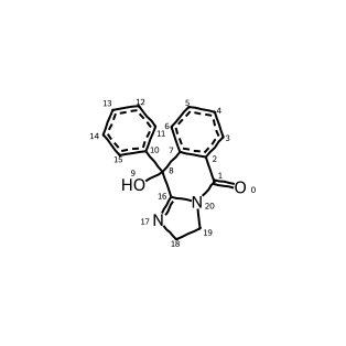 O=C1c2ccccc2C(O)(c2ccccc2)C2=NCCN12